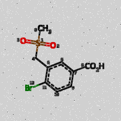 CS(=O)(=O)Cc1cc(C(=O)O)ccc1Br